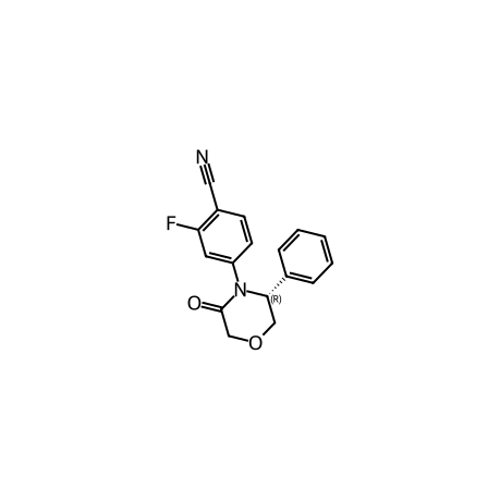 N#Cc1ccc(N2C(=O)COC[C@H]2c2ccccc2)cc1F